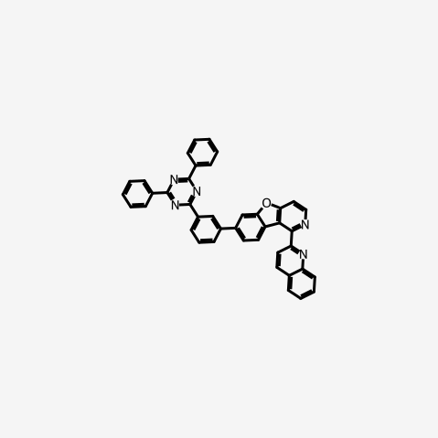 c1ccc(-c2nc(-c3ccccc3)nc(-c3cccc(-c4ccc5c(c4)oc4ccnc(-c6ccc7ccccc7n6)c45)c3)n2)cc1